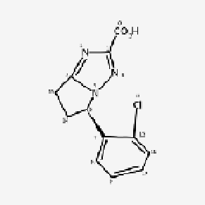 O=C(O)c1nc2n(n1)[C@@H](c1ccccc1Cl)CC2